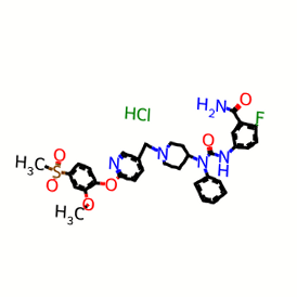 COc1cc(S(C)(=O)=O)ccc1Oc1ccc(CN2CCC(N(C(=O)Nc3ccc(F)c(C(N)=O)c3)c3ccccc3)CC2)cn1.Cl